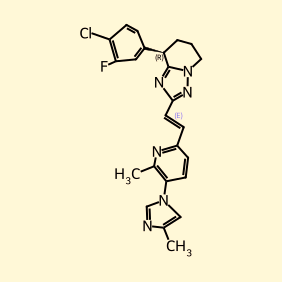 Cc1cn(-c2ccc(/C=C/c3nc4n(n3)CCC[C@@H]4c3ccc(Cl)c(F)c3)nc2C)cn1